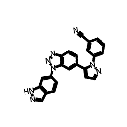 N#Cc1cccc(-n2nccc2-c2ccc3nnn(-c4ccc5cn[nH]c5c4)c3c2)c1